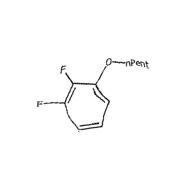 CCCCCOc1cc[c]c(F)c1F